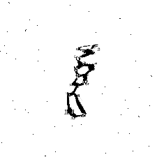 FC(F)(F)COc1ccc2nc(-c3cccnc3)cn2n1